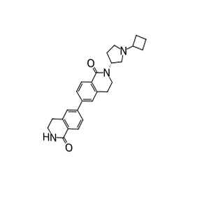 O=C1NCCc2cc(-c3ccc4c(c3)CCN([C@@H]3CCN(C5CCC5)C3)C4=O)ccc21